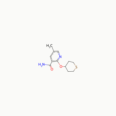 Cc1cnc(OC2CCSCC2)c(C(N)=O)c1